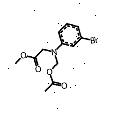 COC(=O)CN(COC(C)=O)c1cccc(Br)c1